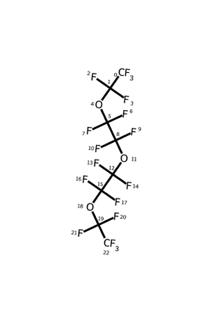 FC(F)(F)C(F)(F)OC(F)(F)C(F)(F)OC(F)(F)C(F)(F)OC(F)(F)C(F)(F)F